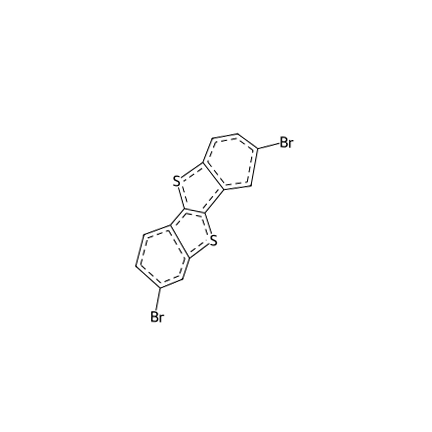 Brc1ccc2c(c1)sc1c3cc(Br)ccc3sc21